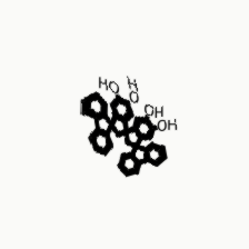 Oc1cc2c(cc1O)C1(CC23CC2(c4ccccc4-c4ccccc42)c2cc(O)c(O)cc23)c2ccccc2-c2ccccc21